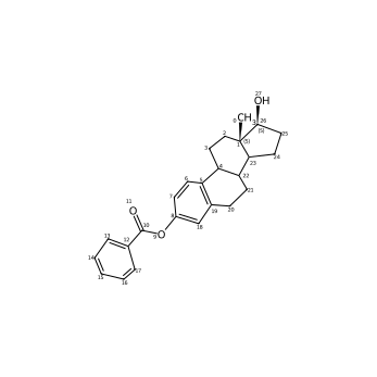 C[C@]12CCC3c4ccc(OC(=O)c5ccccc5)cc4CCC3C1CC[C@@H]2O